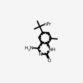 CCCC(C)(C)c1cc(C)c2[nH]c(=O)nc(N)c2c1